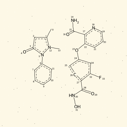 Cc1cc(=O)n(-c2ccccc2)n1C.NC(=O)c1ncccc1Oc1ccc(C(=O)NO)c(F)c1